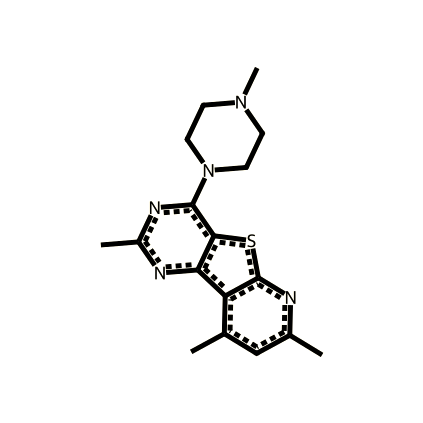 Cc1cc(C)c2c(n1)sc1c(N3CCN(C)CC3)nc(C)nc12